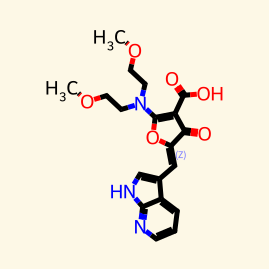 COCCN(CCOC)C1=C(C(=O)O)C(=O)/C(=C/c2c[nH]c3ncccc23)O1